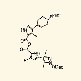 CCCCCCCCCCn1nc(C)c(-c2cc(F)c(C(=O)OC(=O)c3[nH]cc(C4=CCC(CCCCC)CC4)c3F)[nH]2)c1C